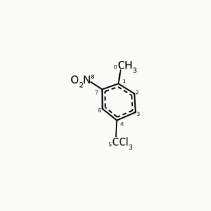 Cc1ccc(C(Cl)(Cl)Cl)cc1[N+](=O)[O-]